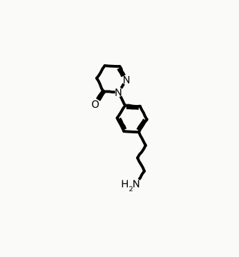 NCCCc1ccc(N2N=CCCC2=O)cc1